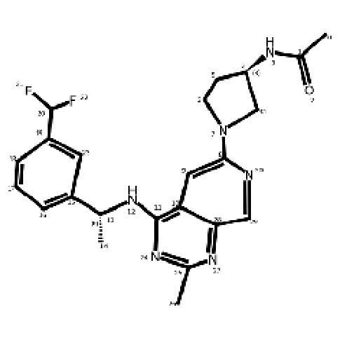 CC(=O)N[C@@H]1CCN(c2cc3c(N[C@H](C)c4cccc(C(F)F)c4)nc(C)nc3cn2)C1